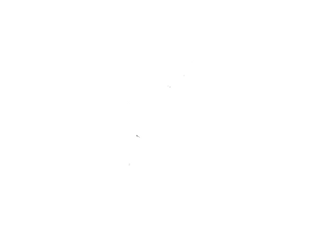 CC(=O)N[C@H](C=O)[C@@H](O)[C@H](O)[C@H](O)CO.O